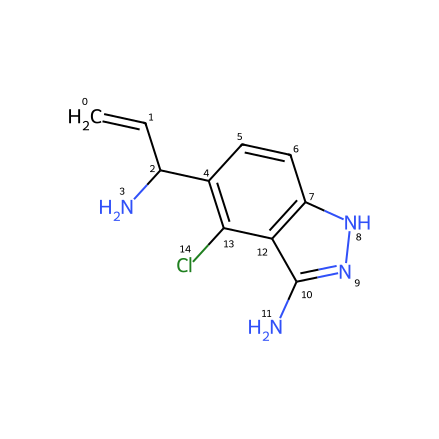 C=CC(N)c1ccc2[nH]nc(N)c2c1Cl